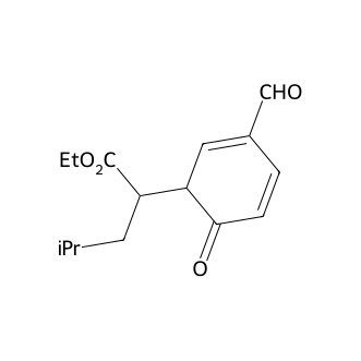 CCOC(=O)C(CC(C)C)C1C=C(C=O)C=CC1=O